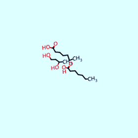 CC(O)CCO.CCCCCCC(=O)O.CCCCCCC(=O)O